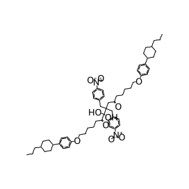 CCCC1CCC(c2ccc(OCCCCCC(=O)CC(Cc3ccc([N+](=O)[O-])cc3)(Cc3ccc([N+](=O)[O-])cc3)C(O)(O)C(=O)CCCCCOc3ccc(C4CCC(CCC)CC4)cc3)cc2)CC1